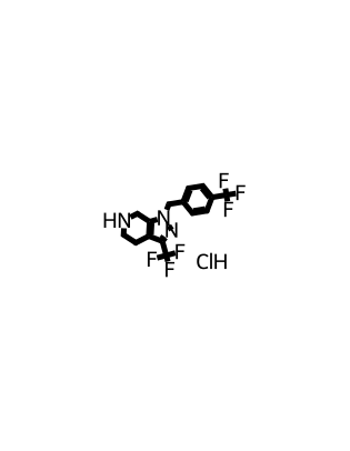 Cl.FC(F)(F)c1ccc(Cn2nc(C(F)(F)F)c3c2CNCC3)cc1